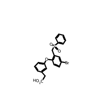 O=C(O)Cc1cccc(Oc2ccc(Br)cc2CS(=O)(=O)c2ccccc2)c1